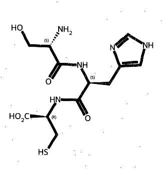 N[C@@H](CO)C(=O)N[C@@H](Cc1c[nH]cn1)C(=O)N[C@@H](CS)C(=O)O